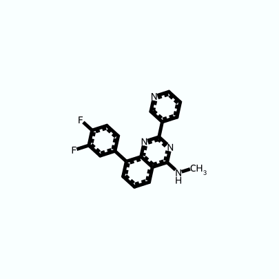 CNc1nc(-c2cccnc2)nc2c(-c3ccc(F)c(F)c3)cccc12